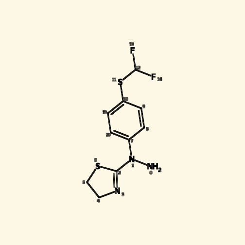 NN(C1=NCCS1)c1ccc(SC(F)F)cc1